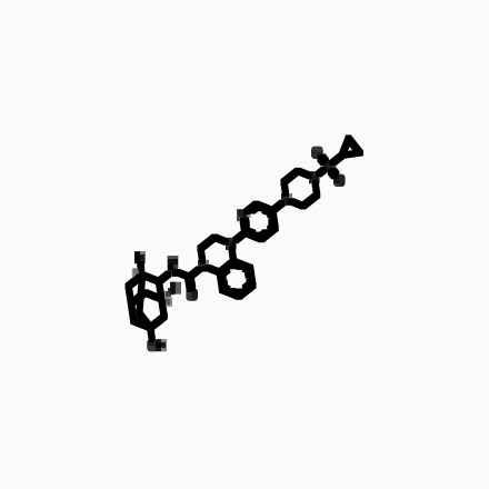 O=C(NC1[C@@H]2CC3C[C@H]1CC(O)(C3)C2)N1CCN(c2ccc(N3CCN(S(=O)(=O)C4CC4)CC3)cn2)c2ccccc21